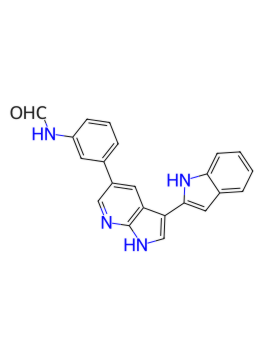 O=CNc1cccc(-c2cnc3[nH]cc(-c4cc5ccccc5[nH]4)c3c2)c1